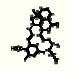 Cc1cc(C)c(C(=O)O)c(/C=C/C[C@@H]2OC(C)(C)OC2C(/C=C\C[C@H](C)N=[N+]=[N-])OC(=O)c2ccccc2)c1